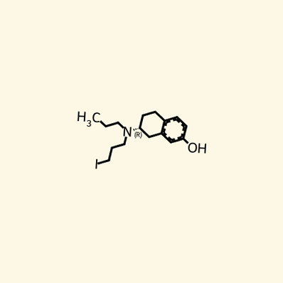 CCCN(CCCI)[C@@H]1CCc2ccc(O)cc2C1